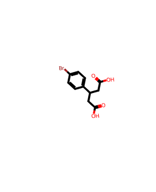 O=C(O)CC(CC(=O)O)c1ccc(Br)cc1